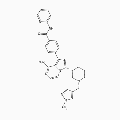 Cn1cc(CN2CCC[C@@H](c3nc(-c4ccc(C(=O)Nc5ccccn5)cc4)c4c(N)nccn34)C2)cn1